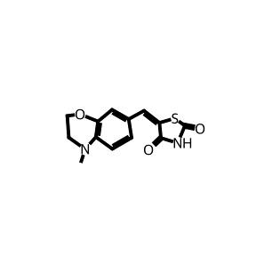 CN1CCOc2cc(C=C3SC(=O)NC3=O)ccc21